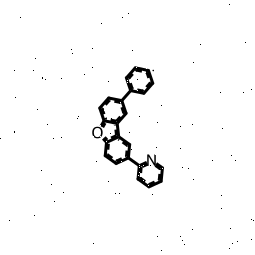 [c]1ccc(-c2ccc3oc4ccc(-c5ccccn5)cc4c3c2)cc1